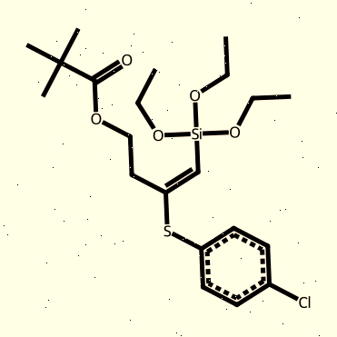 CCO[Si](C=C(CCOC(=O)C(C)(C)C)Sc1ccc(Cl)cc1)(OCC)OCC